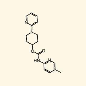 Cc1ccc(NC(=O)OC2CCN(c3ccccn3)CC2)nc1